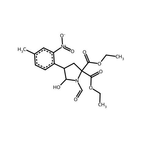 CCOC(=O)C1(C(=O)OCC)CC(c2ccc(C)cc2[N+](=O)[O-])C(O)N1C=O